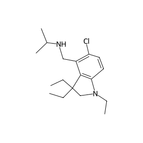 CCN1CC(CC)(CC)c2c1ccc(Cl)c2CNC(C)C